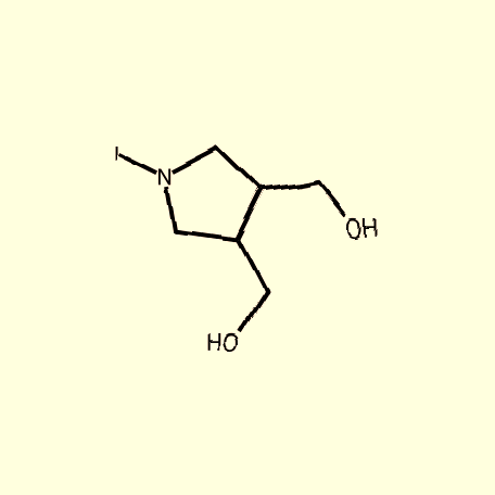 OCC1CN(I)CC1CO